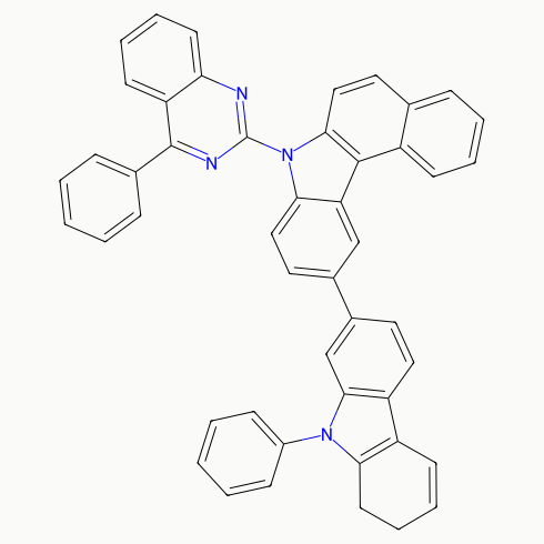 C1=Cc2c(n(-c3ccccc3)c3cc(-c4ccc5c(c4)c4c6ccccc6ccc4n5-c4nc(-c5ccccc5)c5ccccc5n4)ccc23)CC1